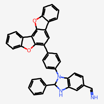 N=Cc1ccc2c(c1)NC(c1ccccc1)N2c1ccc(-c2cc3c4ccccc4oc3c3c2oc2ccccc23)cc1